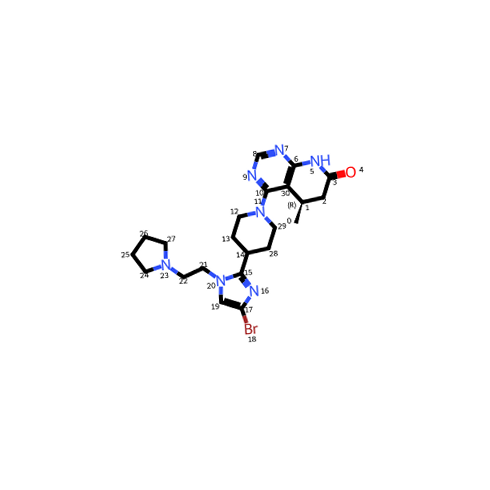 C[C@@H]1CC(=O)Nc2ncnc(N3CCC(c4nc(Br)cn4CCN4CCCC4)CC3)c21